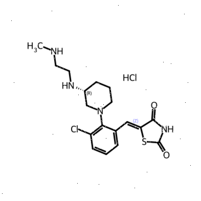 CNCCN[C@@H]1CCCN(c2c(Cl)cccc2/C=C2\SC(=O)NC2=O)C1.Cl